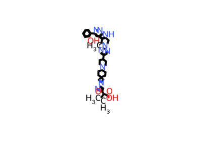 CC(C)C(C(=O)O)c1cc(N2CC3(CCC(N4CCC(c5cnc(N6CCc7[nH]c8nnc(-c9ccccc9O)cc8c7[C@@H]6C)nc5)CC4)CC3)C2)no1